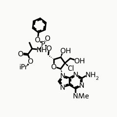 CNc1nc(N)nc2c1ncn2[C@@H]1O[C@H](CO[P@](=O)(NC(C)C(=O)OC(C)C)Oc2ccccc2)[C@@H](O)[C@]1(Cl)CO